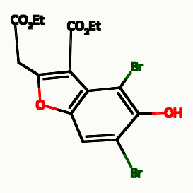 CCOC(=O)Cc1oc2cc(Br)c(O)c(Br)c2c1C(=O)OCC